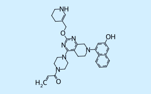 C=CC(=O)N1CCN(c2nc(OCC3=CNCCC3)nc3c2CCN(c2cc(O)cc4ccccc24)C3)CC1